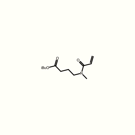 C=CC(=O)N(C)CCCC(=O)OCC(C)C